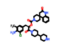 Nc1c(Cl)cc(C[C@@H](OC(=O)N2CCC3(CC2)CC(=O)Nc2ccccc23)C(=O)N2CCC(C3CCNCC3)CC2)cc1C(F)(F)F